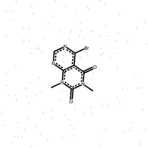 Cn1c(=O)c2c(Br)ncnc2n(C)c1=O